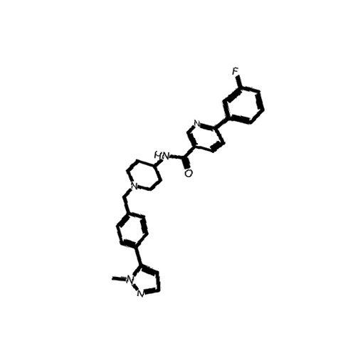 Cn1nccc1-c1ccc(CN2CCC(NC(=O)c3ccc(-c4cccc(F)c4)nc3)CC2)cc1